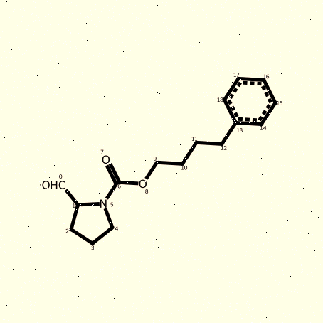 O=[C]C1CCCN1C(=O)OCCCCc1ccccc1